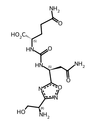 NC(=O)CC[C@H](NC(=O)N[C@@H](CC(N)=O)c1nc([C@@H](N)CO)no1)C(=O)O